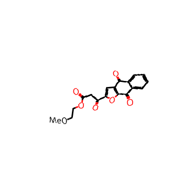 COCCOC(=O)CC(=O)c1cc2c(o1)C(=O)c1ccccc1C2=O